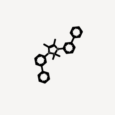 CC1=C(C)N(c2cccc(-c3ccccc3)c2)[Si](C)(C)N1c1cccc(-c2ccccc2)c1